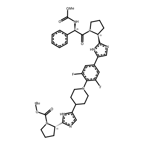 COC(=O)N[C@@H](C(=O)N1CCC[C@H]1c1ncc(-c2cc(F)c(N3CCC(c4cnc([C@@H]5CCCN5C(=O)OC(C)(C)C)[nH]4)CC3)c(F)c2)[nH]1)c1ccccc1